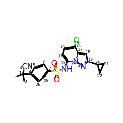 CC(C)(C#N)c1ccc(S(=O)(=O)Nc2ccc(Cl)c3cc(C4CC4)nn23)cc1